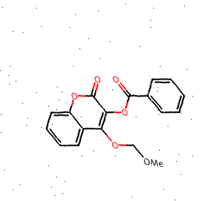 COCOc1c(OC(=O)c2ccccc2)c(=O)oc2ccccc12